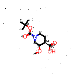 CO[C@H]1CN(C(=O)OC(C)(C)C)CC[C@H]1C(=O)O